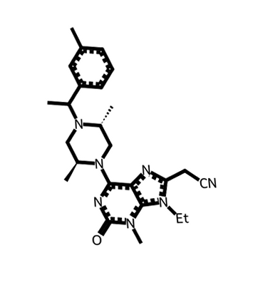 CCn1c(CC#N)nc2c(N3C[C@@H](C)N(C(C)c4cccc(C)c4)C[C@@H]3C)nc(=O)n(C)c21